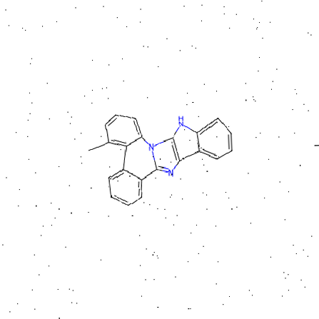 Cc1cccc2c1c1ccccc1c1nc3c4ccccc4[nH]c3n21